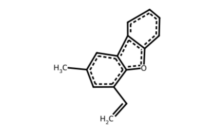 C=Cc1cc(C)cc2c1oc1ccccc12